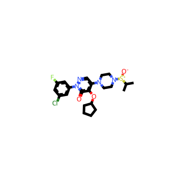 CC(C)[S+]([O-])N1CCN(c2cnn(-c3cc(F)cc(Cl)c3)c(=O)c2OC2CCCC2)CC1